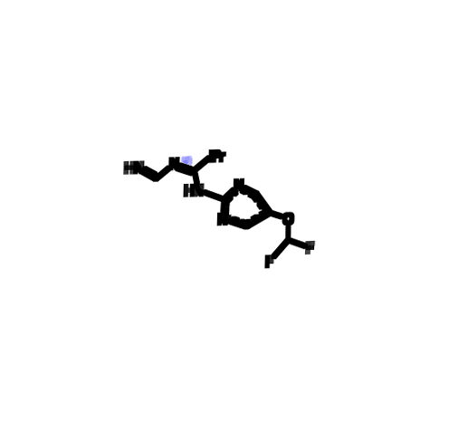 CC(C)/C(=N/C=N)Nc1ncc(OC(F)F)cn1